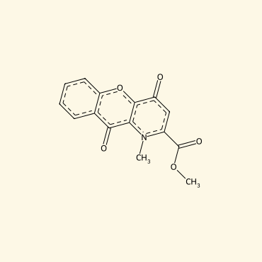 COC(=O)c1cc(=O)c2oc3ccccc3c(=O)c2n1C